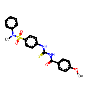 CCC(C)Oc1ccc(C(=O)NC(=S)Nc2ccc(S(=O)(=O)N(CC)c3ccccc3)cc2)cc1